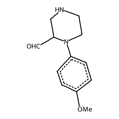 COc1ccc(N2CCNCC2C=O)cc1